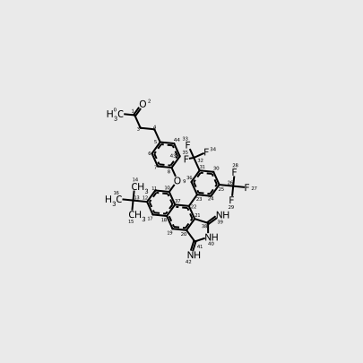 CC(=O)CCc1ccc(Oc2cc(C(C)(C)C)cc3cc4c(c(-c5cc(C(F)(F)F)cc(C(F)(F)F)c5)c23)C(=N)NC4=N)cc1